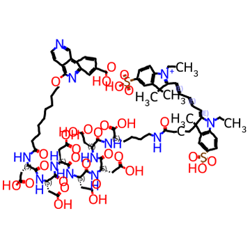 CCN1/C(=C/C=C/C=C/C2=[N+](CC)c3ccc(S(=O)(=O)O)cc3C2(C)C)C(C)(CCCC(=O)NCCCC[C@H](NC(=O)[C@H](CC(=O)O)NC(=O)[C@H](CC(=O)O)NC(=O)[C@H](CC(=O)O)NC(=O)[C@H](CC(=O)O)NC(=O)[C@H](CC(=O)O)NC(=O)[C@H](CC(=O)O)NC(=O)CCCCCCCCOc2nc3cc(C(=O)O)ccc3c3cnccc23)C(=O)O)c2cc(S(=O)(=O)O)ccc21